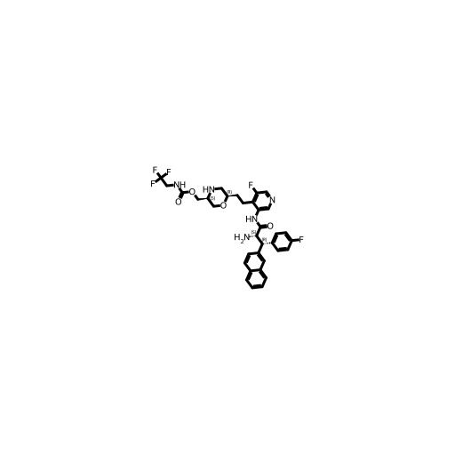 N[C@H](C(=O)Nc1cncc(F)c1CC[C@@H]1CN[C@H](COC(=O)NCC(F)(F)F)CO1)[C@H](c1ccc(F)cc1)c1ccc2ccccc2c1